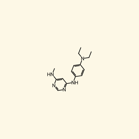 CCN(CC)c1ccc(Nc2cc(NC)ncn2)cc1